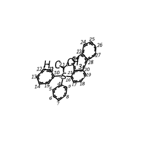 CC(C)S(c1ccccc1)(c1ccccc1)c1cccc2c1sc1ccccc12